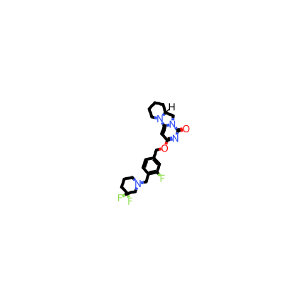 O=c1nc(OCc2ccc(CN3CCCC(F)(F)C3)c(F)c2)cc2n1C[C@@H]1CCCCN21